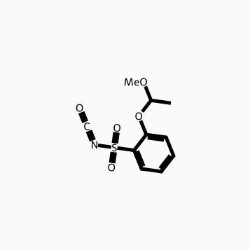 COC(C)Oc1ccccc1S(=O)(=O)N=C=O